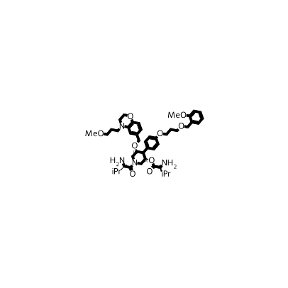 COCCCN1CCOc2ccc(CO[C@H]3CN(C(=O)[C@@H](N)C(C)C)C[C@@H](OC(=O)[C@@H](N)C(C)C)C3c3ccc(OCCCOCc4ccccc4OC)cc3)cc21